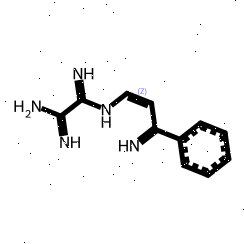 N=C(N)C(=N)N/C=C\C(=N)c1ccccc1